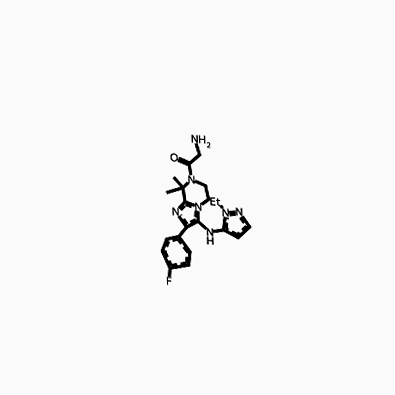 CCn1nccc1Nc1c(-c2ccc(F)cc2)nc2n1CCN(C(=O)CN)C2(C)C